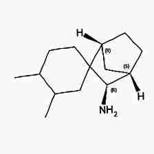 CC1CCC2(CC1C)[C@@H]1CC[C@@H](C1)[C@H]2N